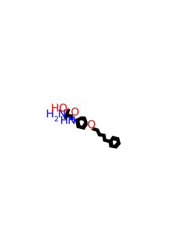 CC(N)(CO)C(=O)Nc1ccc(OCCCCCc2ccccc2)cc1